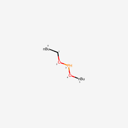 CCCCCOPOCCCC